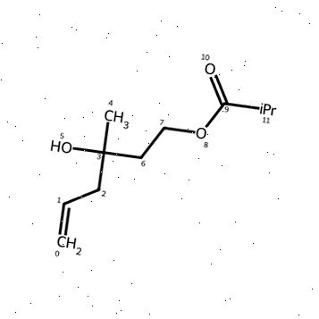 C=CCC(C)(O)CCOC(=O)C(C)C